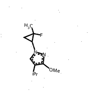 COc1nn(C2CC2(C)F)cc1C(C)C